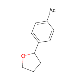 CC(=O)c1ccc(C2CCCO2)cc1